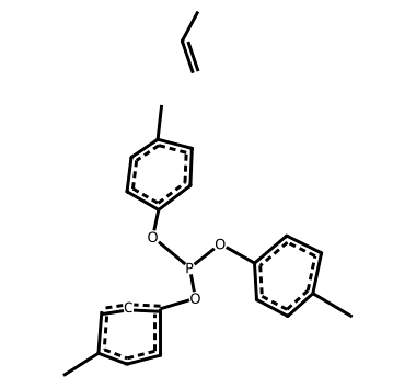 C=CC.Cc1ccc(OP(Oc2ccc(C)cc2)Oc2ccc(C)cc2)cc1